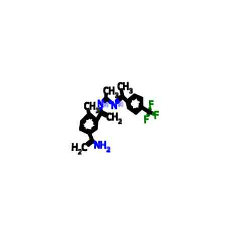 C=C(N)c1ccc(C)c(C(=C)/N=C(C)\N=C(/C)c2ccc(C(F)(F)F)cc2)c1